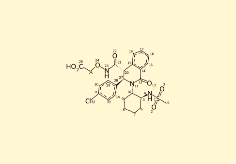 CS(=O)(=O)N[C@H]1CCCCC1N1C(=O)c2ccccc2[C@@H](C(=O)NOCC(=O)O)[C@@H]1c1ccc(Cl)cc1